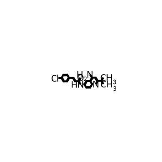 CC(C)c1cc(N)c2cc(NC(=O)C=Cc3ccc(Cl)cc3)ccc2n1